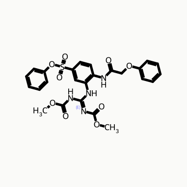 COC(=O)/N=C(/NC(=O)OC)Nc1cc(S(=O)(=O)Oc2ccccc2)ccc1NC(=O)COc1ccccc1